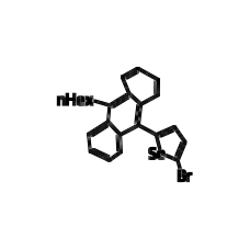 CCCCCCc1c2ccccc2c(-c2ccc(Br)[se]2)c2ccccc12